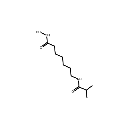 CC(C)C(=O)NCCCCCCC(=O)NO